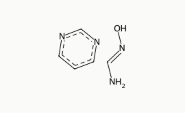 NC=NO.c1cncnc1